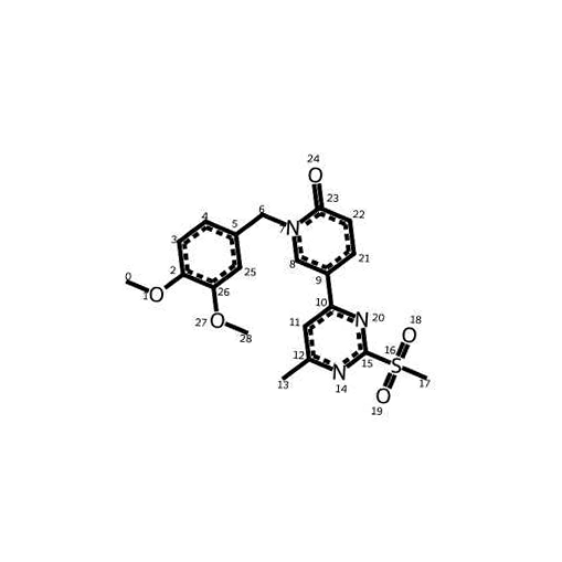 COc1ccc(Cn2cc(-c3cc(C)nc(S(C)(=O)=O)n3)ccc2=O)cc1OC